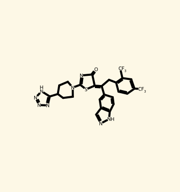 O=C1N=C(N2CCC(c3nnn[nH]3)CC2)SC1=C(Cc1ccc(C(F)(F)F)cc1C(F)(F)F)c1ccc2[nH]ncc2c1